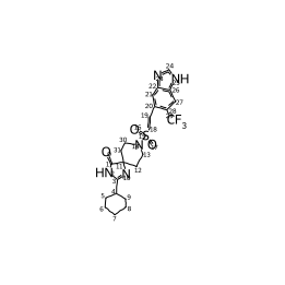 O=C1NC(C2CCCCC2)=NC12CCN(S(=O)(=O)C=Cc1cc3nc[nH]c3cc1C(F)(F)F)CC2